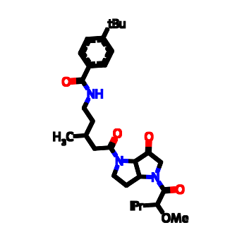 COC(C(=O)N1CC(=O)C2C1CCN2C(=O)CC(C)CCNC(=O)c1ccc(C(C)(C)C)cc1)C(C)C